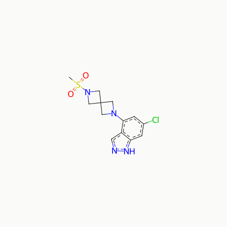 CS(=O)(=O)N1CC2(CN(c3cc(Cl)cc4[nH]ncc34)C2)C1